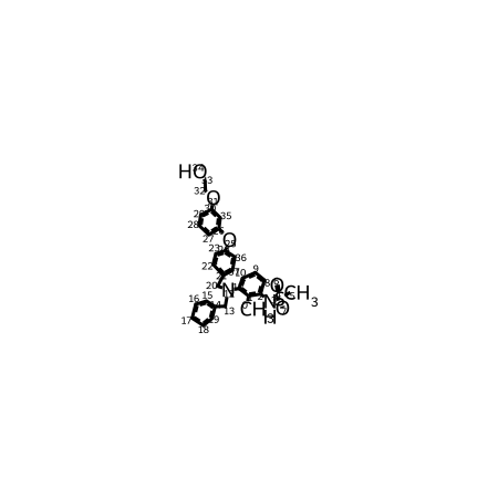 Cc1c(NS(C)(=O)=O)cccc1N(Cc1ccccc1)Cc1ccc(Oc2cccc(OCCO)c2)cc1